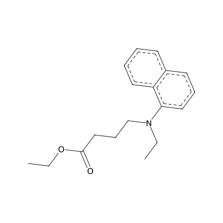 CCOC(=O)CCCN(CC)c1cccc2ccccc12